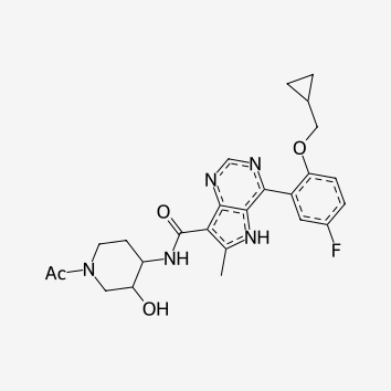 CC(=O)N1CCC(NC(=O)c2c(C)[nH]c3c(-c4cc(F)ccc4OCC4CC4)ncnc23)C(O)C1